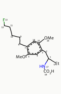 CCC(Cc1cc(OC)c(CCCCCF)cc1OC)NC(=O)O